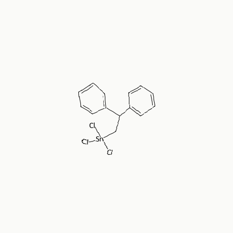 [Cl][Sn]([Cl])([Cl])[CH2]C(c1ccccc1)c1ccccc1